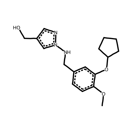 COc1ccc(CNn2cc(CO)cn2)cc1OC1CCCC1